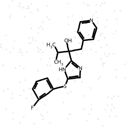 CC(C)C(O)(Cc1ccncc1)c1ncc(Sc2cccc(F)c2)[nH]1